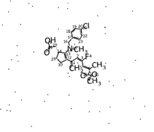 C=C(/C=C(F)\C=C(/C)S(C)(=O)=O)C1=C(N(C)Cc2ccc(Cl)cc2)[C@@H](CC(=O)O)CC1